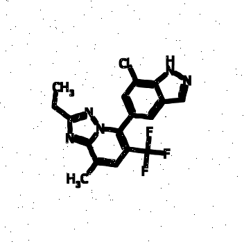 CCc1nc2c(C)cc(C(F)(F)F)c(-c3cc(Cl)c4[nH]ncc4c3)n2n1